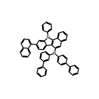 c1ccc(-c2ccc(N(c3cccc(-c4ccccc4)c3)c3cc4ccccc4c4c3c3ccc(-c5cccc6ccccc56)cc3n4-c3ccccc3)cc2)cc1